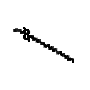 CCCCCCCCCCOc1c(C)ccc2c(ON=NN=NN=NN=NN=NN=NN=NN=NN=NN=NC)c(C)ccc12